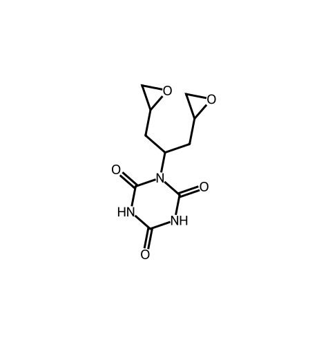 O=c1[nH]c(=O)n(C(CC2CO2)CC2CO2)c(=O)[nH]1